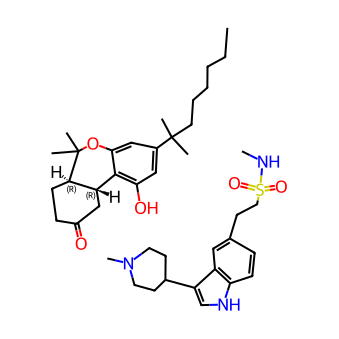 CCCCCCC(C)(C)c1cc(O)c2c(c1)OC(C)(C)[C@@H]1CCC(=O)C[C@@H]21.CNS(=O)(=O)CCc1ccc2[nH]cc(C3CCN(C)CC3)c2c1